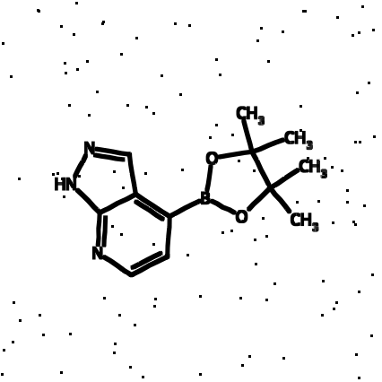 CC1(C)OB(c2ccnc3[nH]ncc23)OC1(C)C